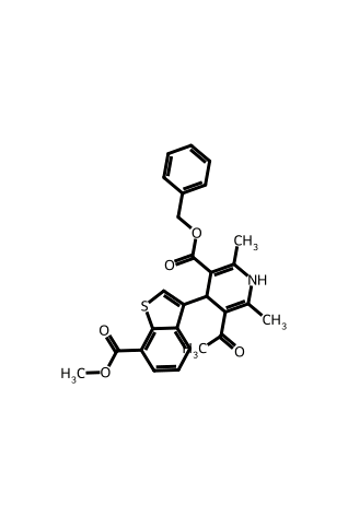 COC(=O)c1cccc2c(C3C(C(C)=O)=C(C)NC(C)=C3C(=O)OCc3ccccc3)csc12